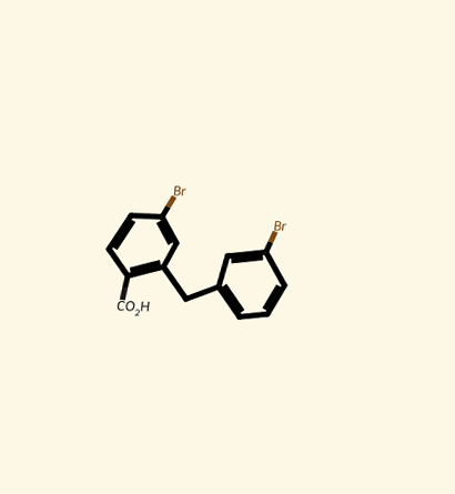 O=C(O)c1ccc(Br)cc1Cc1cccc(Br)c1